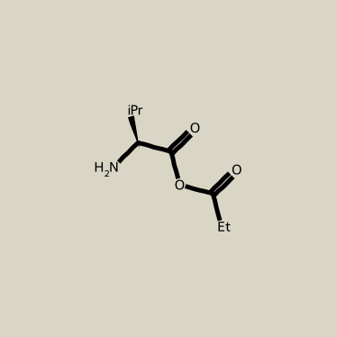 CCC(=O)OC(=O)[C@@H](N)C(C)C